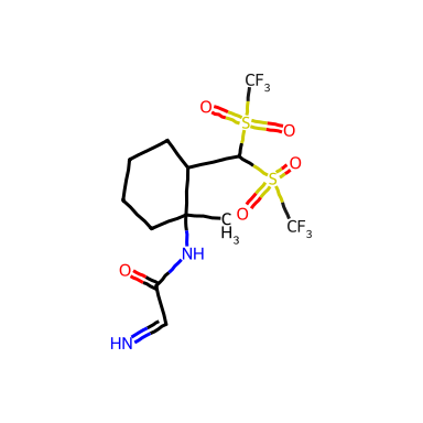 CC1(NC(=O)C=N)CCCCC1C(S(=O)(=O)C(F)(F)F)S(=O)(=O)C(F)(F)F